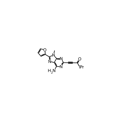 CC(C)C(=O)C#Cc1nc(N)c2nc(-c3ccco3)n(C)c2n1